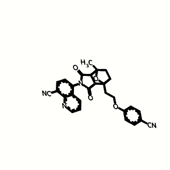 CC12CCC(CCOc3ccc(C#N)cc3)(O1)C1C(=O)N(c3ccc(C#N)c4ncccc34)C(=O)C12